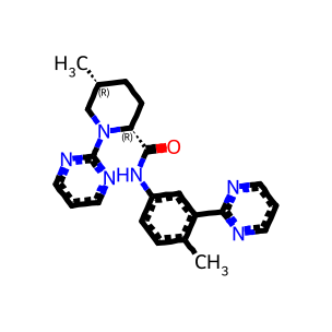 Cc1ccc(NC(=O)[C@H]2CC[C@@H](C)CN2c2ncccn2)cc1-c1ncccn1